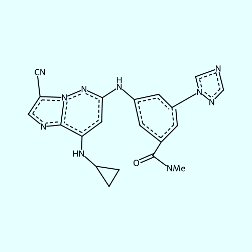 CNC(=O)c1cc(Nc2cc(NC3CC3)c3ncc(C#N)n3n2)cc(-n2cncn2)c1